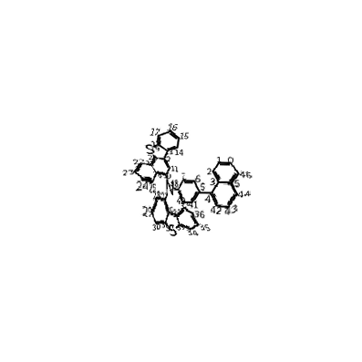 c1ccc2c(-c3ccc(N(c4cc5c6ccccc6sc5c5ccccc45)c4cccc5sc6ccccc6c45)cc3)cccc2c1